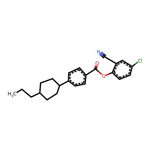 CCCC1CCC(c2ccc(C(=O)Oc3ccc(Cl)cc3C#N)cc2)CC1